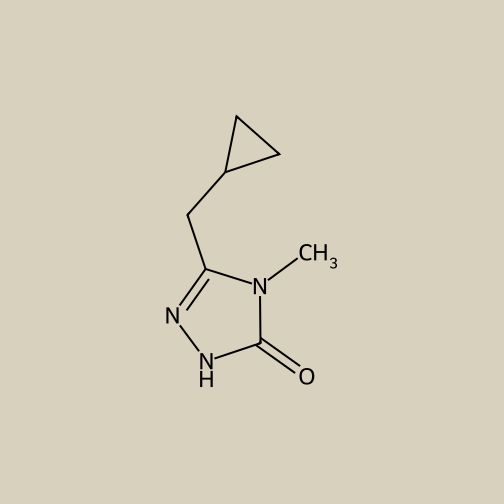 Cn1c(CC2CC2)n[nH]c1=O